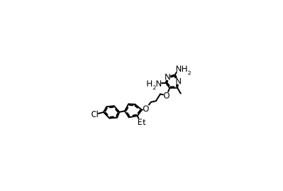 CCc1cc(-c2ccc(Cl)cc2)ccc1OCCCOc1c(C)nc(N)nc1N